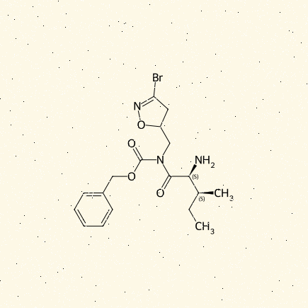 CC[C@H](C)[C@H](N)C(=O)N(CC1CC(Br)=NO1)C(=O)OCc1ccccc1